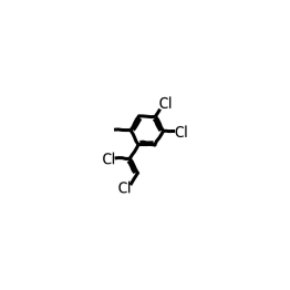 Cc1cc(Cl)c(Cl)cc1C(Cl)=CCl